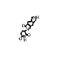 O=C1CCC(N2Cc3cc4c(cc3C2=O)CNC4)C(=O)N1